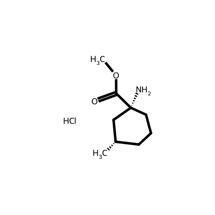 COC(=O)[C@@]1(N)CCC[C@H](C)C1.Cl